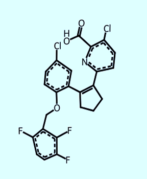 O=C(O)c1nc(C2=C(c3cc(Cl)ccc3OCc3c(F)ccc(F)c3F)CCC2)ccc1Cl